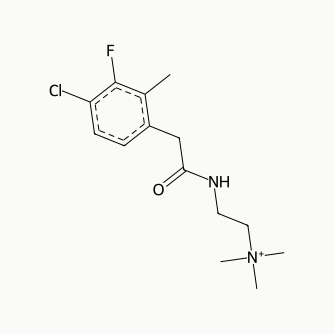 Cc1c(CC(=O)NCC[N+](C)(C)C)ccc(Cl)c1F